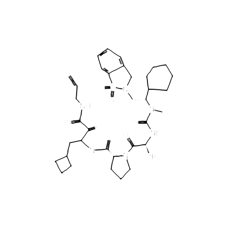 C=CCNC(=O)C(=O)C(CC1CCC1)NC(=O)[C@@H]1CCCN1C(=O)[C@@H](NC(=O)N(C)[C@H](CN1Cc2ccccc2S1(=O)=O)C1CCCCC1)C(C)(C)C